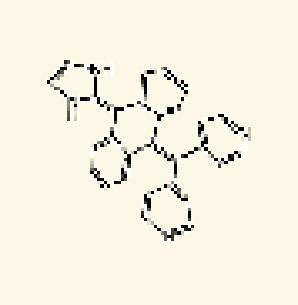 C1=CNC(=c2c3ccccc3c(=C(c3ccncc3)c3ccncc3)c3ccccc23)N1